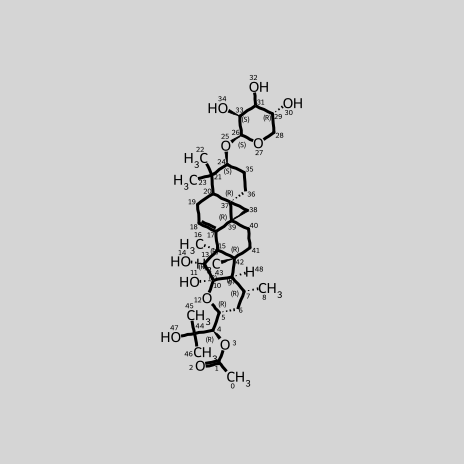 CC(=O)O[C@H]([C@H]1C[C@@H](C)[C@H]2[C@@](O)(O1)[C@H](O)[C@@]1(C)C3=CCC4C(C)(C)[C@@H](O[C@@H]5OC[C@@H](O)C(O)[C@@H]5O)CC[C@@]45C[C@@]35CC[C@]21C)C(C)(C)O